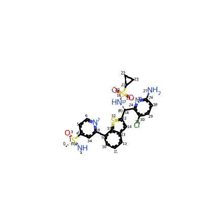 C[S@](=N)(=O)c1ccnc(-c2cccc3cc([C@H](NS(=O)(=O)C4CC4)c4nc(N)ccc4Cl)sc23)c1